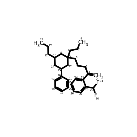 C=C(CCCC1(CCC)CC(CCC)CC(c2ccccc2)C1)c1ccccc1C(F)F